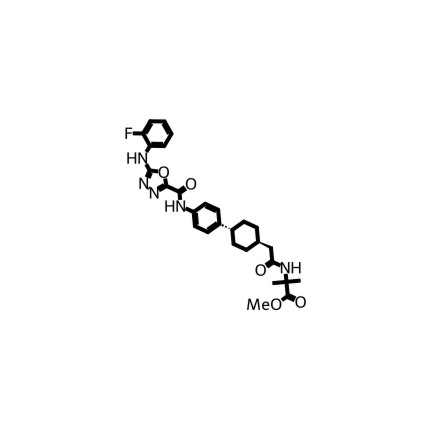 COC(=O)C(C)(C)NC(=O)C[C@H]1CC[C@H](c2ccc(NC(=O)c3nnc(Nc4ccccc4F)o3)cc2)CC1